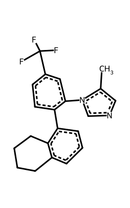 Cc1cncn1-c1cc(C(F)(F)F)ccc1-c1cccc2c1CCCC2